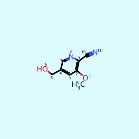 COc1cc(CO)cnc1C#N